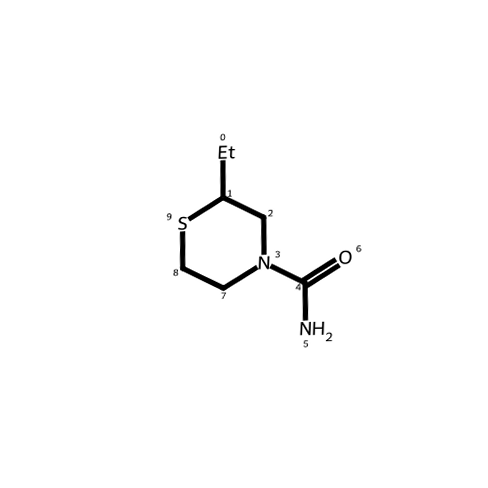 CCC1CN(C(N)=O)CCS1